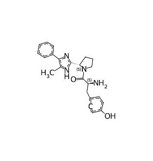 Cc1[nH]c([C@@H]2CCCN2C(=O)[C@@H](N)Cc2ccc(O)cc2)nc1-c1ccccc1